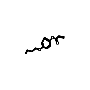 C=CC(=O)Oc1ccc(OCCCC)cc1